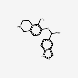 Cc1c(OC(c2ccc3[nH]ncc3c2)C(C)C)ccc2c1CCNC2